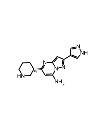 Nc1cc([C@@H]2CCCNC2)nc2cc(-c3cn[nH]c3)nn12